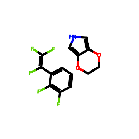 FC(F)=C(F)c1cccc(F)c1F.c1[nH]cc2c1OCCO2